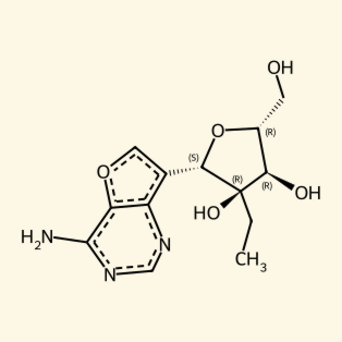 CC[C@@]1(O)[C@H](O)[C@@H](CO)O[C@H]1c1coc2c(N)ncnc12